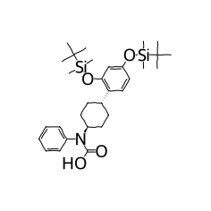 CC(C)(C)[Si](C)(C)Oc1ccc([C@H]2CC[C@H](N(C(=O)O)c3ccccc3)CC2)c(O[Si](C)(C)C(C)(C)C)c1